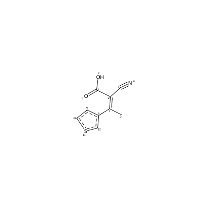 CC(=C(C#N)C(=O)O)c1ccsc1